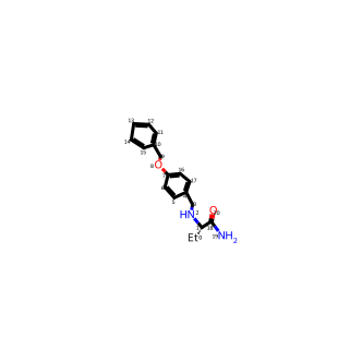 CC[C@H](NCc1ccc(OCc2ccccc2)cc1)C(N)=O